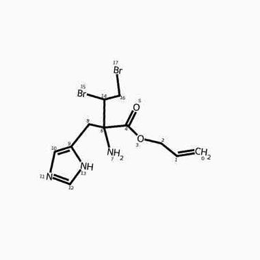 C=CCOC(=O)C(N)(Cc1cnc[nH]1)C(Br)CBr